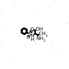 CC(N)C(NS(=O)(=O)c1ccccc1)C(=O)O